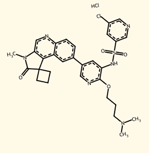 CN(C)CCCOc1ncc(-c2ccc3ncc4c(c3c2)C2(CCC2)C(=O)N4C)cc1NS(=O)(=O)c1cncc(Cl)c1.Cl